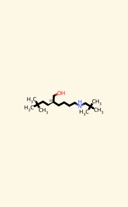 CC(C)(C)CC[C@@H](CO)CCCCNCC(C)(C)C